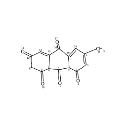 CC1=CC(=O)C2C(=O)C3C(=O)CC(=O)C=C3C(=O)C2=C1